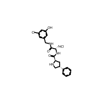 C[C@H](NC(=O)[C@H]1C[C@H](c2ccccc2)CN1)C(=O)NCc1cc(O)cc(Cl)c1.Cl